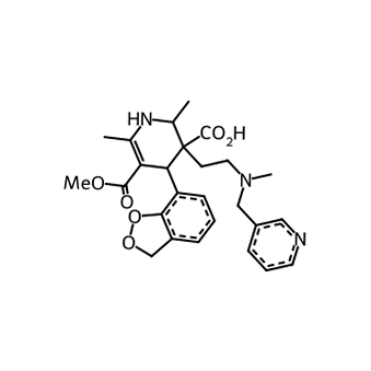 COC(=O)C1=C(C)NC(C)C(CCN(C)Cc2cccnc2)(C(=O)O)C1c1cccc2c1OOC2